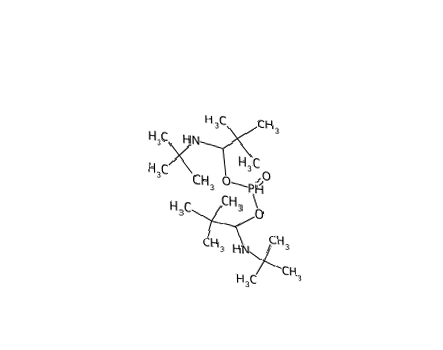 CC(C)(C)NC(O[PH](=O)OC(NC(C)(C)C)C(C)(C)C)C(C)(C)C